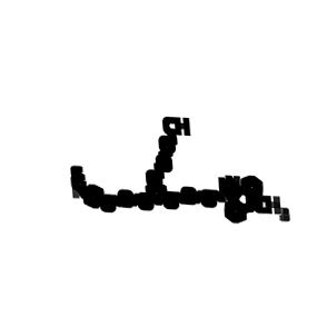 C#CCOCCOCCOc1cc(OCCOCCOCCn2nnc3c2-c2ccccc2CN(C)c2ccccc2-3)cc(OCCOCCOc2ccc(N=C=S)cc2)c1